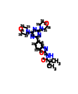 CC(C)C(=O)Nc1nc2cc(-c3nc(N4CCOCC4)nc(N4CCOCC4)n3)ccc2o1